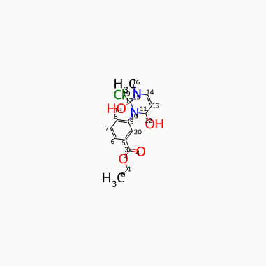 CCOC(=O)c1cccc(N2C(O)C=CN(C)C2(O)Cl)c1